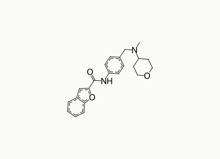 CN(Cc1ccc(NC(=O)c2cc3ccccc3o2)cc1)C1CCOCC1